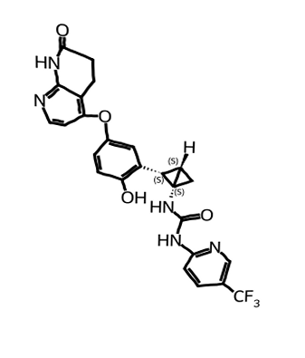 O=C1CCc2c(Oc3ccc(O)c([C@@H]4[C@@H]5C[C@@]45NC(=O)Nc4ccc(C(F)(F)F)cn4)c3)ccnc2N1